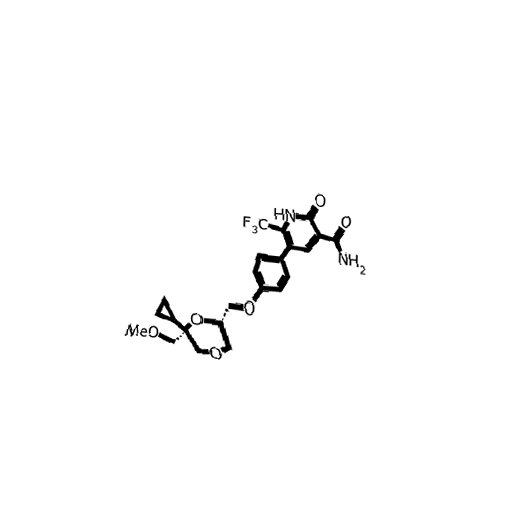 COC[C@@]1(C2CC2)COC[C@@H](COc2ccc(-c3cc(C(N)=O)c(=O)[nH]c3C(F)(F)F)cc2)O1